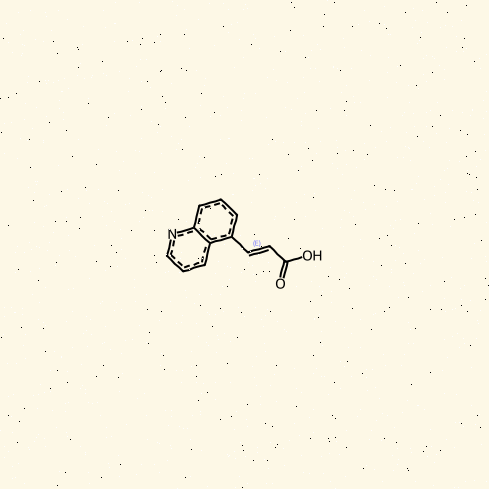 O=C(O)/C=C/c1cccc2ncccc12